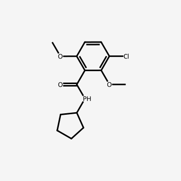 COc1ccc(Cl)c(OC)c1C(=O)PC1CCCC1